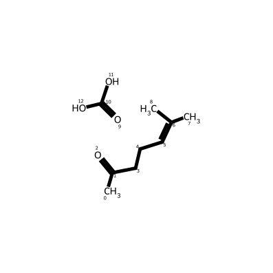 CC(=O)CCC=C(C)C.O=C(O)O